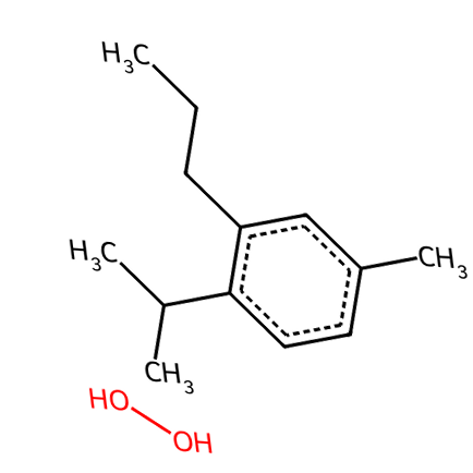 CCCc1cc(C)ccc1C(C)C.OO